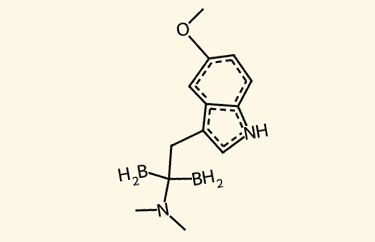 BC(B)(Cc1c[nH]c2ccc(OC)cc12)N(C)C